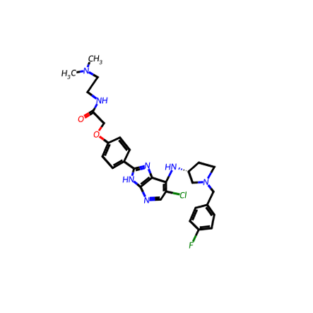 CN(C)CCNC(=O)COc1ccc(-c2nc3c(N[C@@H]4CCN(Cc5ccc(F)cc5)C4)c(Cl)cnc3[nH]2)cc1